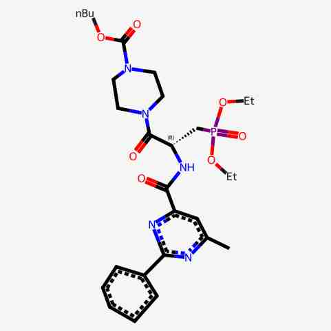 CCCCOC(=O)N1CCN(C(=O)[C@H](CP(=O)(OCC)OCC)NC(=O)c2cc(C)nc(-c3ccccc3)n2)CC1